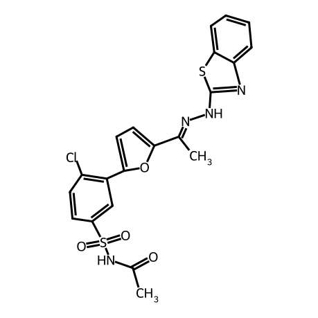 CC(=O)NS(=O)(=O)c1ccc(Cl)c(-c2ccc(/C(C)=N/Nc3nc4ccccc4s3)o2)c1